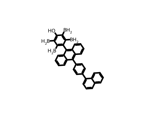 Bc1c(B)c(-c2c3ccccc3c(-c3ccc(-c4cccc5ccccc45)cc3)c3ccccc23)c(B)c(B)c1O